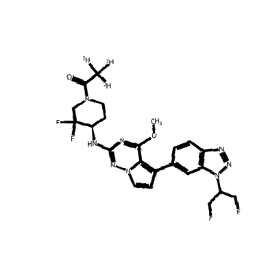 [2H]C([2H])([2H])C(=O)N1CC[C@@H](Nc2nc(OC)c3c(-c4ccc5nnn(C(CF)CF)c5c4)ccn3n2)C(F)(F)C1